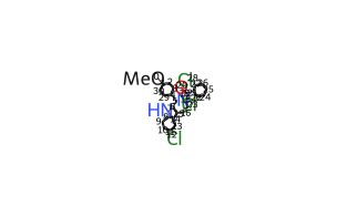 COc1ccc(C2c3[nH]c4ccc(Cl)cc4c3CCN2C(=O)c2c(Cl)cccc2Cl)cc1